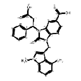 Cc1cccc2c1c(Cn1c(=O)n([C@H](CC(=O)O)c3ccccc3)c3cc(C(=O)O)ccc31)cn2C